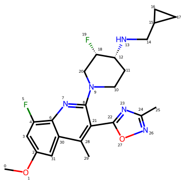 COc1cc(F)c2nc(N3CC[C@@H](NCC4CC4)[C@@H](F)C3)c(-c3nc(C)no3)c(C)c2c1